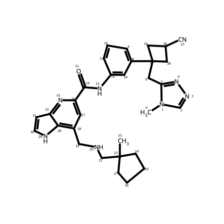 Cn1cnnc1CC1(c2cccc(NC(=O)c3cc(CNCC4(C)CCCC4)c4[nH]ccc4n3)c2)CC(C#N)C1